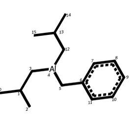 CC(C)[CH2][Al]([CH2]c1ccccc1)[CH2]C(C)C